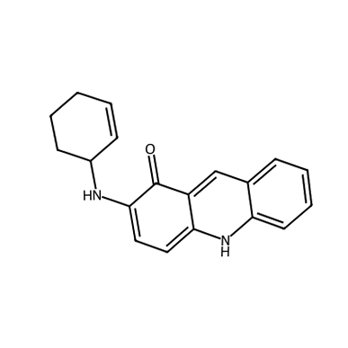 O=c1c(NC2C=CCCC2)ccc2[nH]c3ccccc3cc1-2